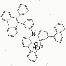 Cc1c(-c2ccccc2O)cccc1N(c1ccc(-c2cccc3ccccc23)cc1)c1cccc(-c2c(-c3ccccc3)c3ccccc3c3ccccc23)c1